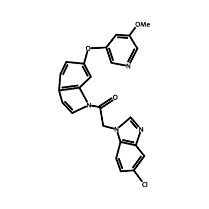 COc1cncc(Oc2ccc3ccn(C(=O)Cn4cnc5cc(Cl)ccc54)c3c2)c1